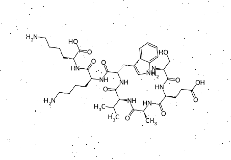 CC(C)[C@H](NC(=O)[C@H](C)NC(=O)[C@H](CCC(=O)O)NC(=O)[C@@H](N)CO)C(=O)N[C@@H](Cc1c[nH]c2ccccc12)C(=O)N[C@@H](CCCCN)C(=O)N[C@@H](CCCCN)C(=O)O